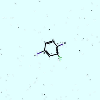 Fc1cc(I)ccc1I